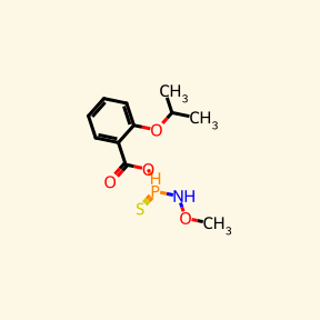 CON[PH](=S)OC(=O)c1ccccc1OC(C)C